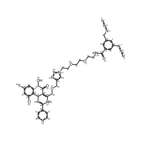 [N-]=[N+]=NCc1cc(N=[N+]=[N-])cc(C(=O)NCCOCCOCCn2cc(COCC3=C(C(=O)CO)C(c4ccc(F)cc4Cl)N=C(c4ccncc4)N3)nn2)c1